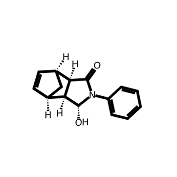 O=C1[C@H]2[C@@H]([C@@H](O)N1c1ccccc1)[C@H]1C=C[C@@H]2C1